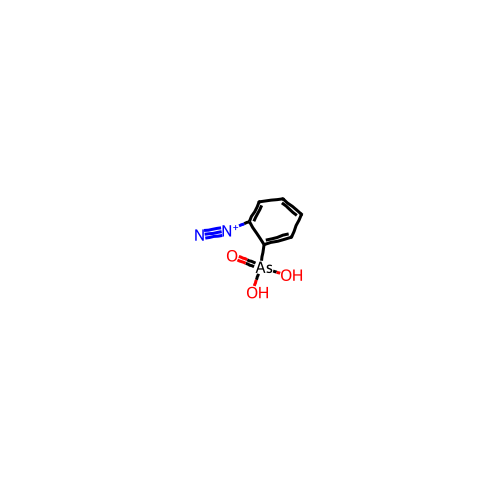 N#[N+]c1ccccc1[As](=O)(O)O